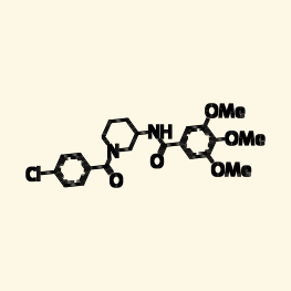 COc1cc(C(=O)NC2CCCN(C(=O)c3ccc(Cl)cc3)C2)cc(OC)c1OC